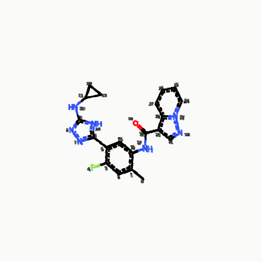 Cc1cc(F)c(-c2nnc(NC3CC3)[nH]2)cc1NC(=O)c1cnn2ccccc12